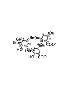 CC(C)(C)c1cc(C(=O)[O-])c(O)c(C(C)(C)C)c1.CC(C)(C)c1cc(C(=O)[O-])c(O)c(C(C)(C)C)c1.CC(C)(C)c1cc(C(=O)[O-])c(O)c(C(C)(C)C)c1.[Ga+3]